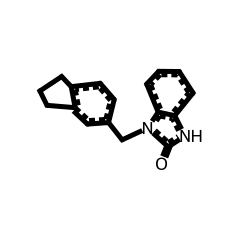 O=c1[nH]c2ccccc2n1Cc1ccc2c(c1)CCC2